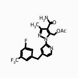 CC(=O)OCc1c(C(N)=O)c(C)nn1-c1cc(Cc2cc(F)cc(C(F)(F)F)c2)ccn1